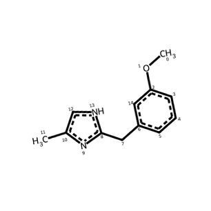 COc1cccc(Cc2nc(C)c[nH]2)c1